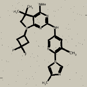 CNc1nc(Nc2cnc(-n3cnc(C)c3)c(C)c2)nc2c1C(C)(C)CN2C1CC(F)(F)C1